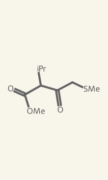 COC(=O)C(C(=O)CSC)C(C)C